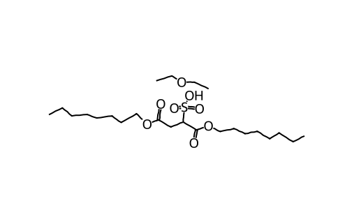 CCCCCCCCOC(=O)CC(C(=O)OCCCCCCCC)S(=O)(=O)O.CCOCC